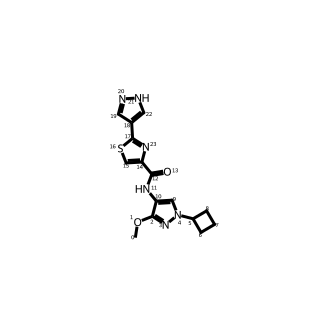 COc1nn(C2CCC2)cc1NC(=O)c1csc(-c2cn[nH]c2)n1